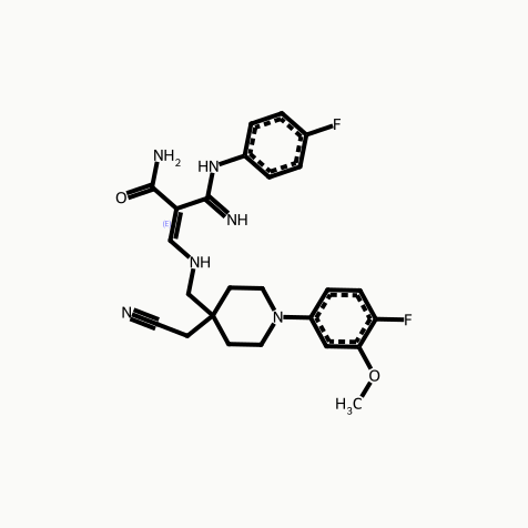 COc1cc(N2CCC(CC#N)(CN/C=C(\C(=N)Nc3ccc(F)cc3)C(N)=O)CC2)ccc1F